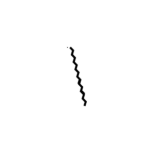 [CH2]CCCCCCCC/C=C/C/C=C/CCC